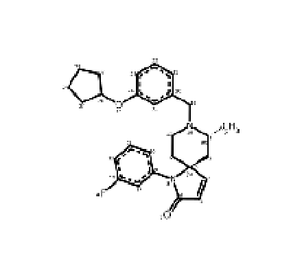 C[C@@H]1C[C@]2(C=CC(=O)N2c2cccc(F)c2)CCN1Cc1cccc(OC2CCCC2)c1